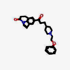 O=C(CCC1CCN(CCOc2ccccc2)CC1)c1cc2c3c(c1)CCN3C(=O)CC2